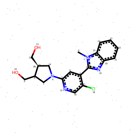 Cn1c(-c2cc(N3CC(CO)[C@@H](CO)C3)ncc2Cl)nc2ccccc21